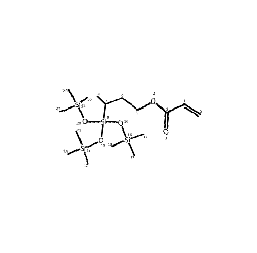 C=CC(=O)OCCC(C)[Si](O[Si](C)(C)C)(O[Si](C)(C)C)O[Si](C)(C)C